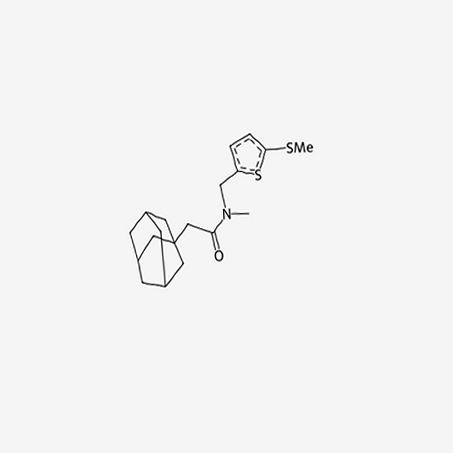 CSc1ccc(CN(C)C(=O)CC23CC4CC(CC(C4)C2)C3)s1